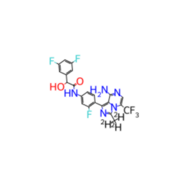 [2H]C([2H])([2H])c1nc(-c2ccc(NC(=O)C(O)c3cc(F)cc(F)c3)cc2F)c2c(N)ncc(C(F)(F)F)n12